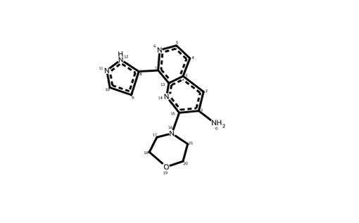 Nc1cc2ccnc(-c3ccn[nH]3)c2nc1N1CCOCC1